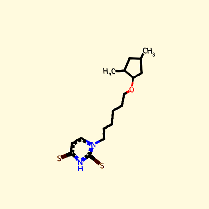 CC1CC(C)C(OCCCCCCn2ccc(=S)[nH]c2=S)C1